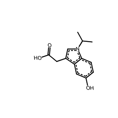 CC(C)n1cc(CC(=O)O)c2cc(O)ccc21